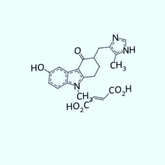 Cc1[nH]cnc1CC1CCc2c(c3cc(O)ccc3n2C)C1=O.O=C(O)C=CC(=O)O